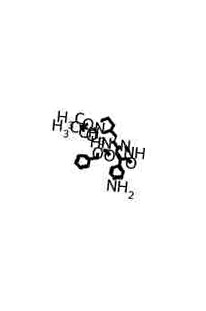 CC(C)(C)OC(=O)N1CCCC(C[C@H](NC(=O)OCc2ccccc2)c2cc(-c3ccc(N)cc3)c(=O)[nH]n2)C1